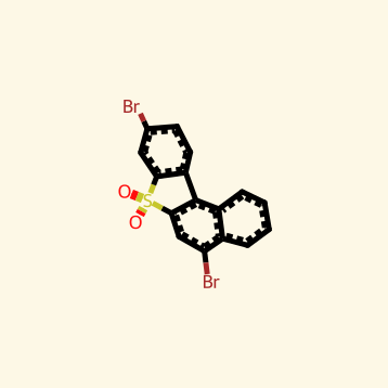 O=S1(=O)c2cc(Br)ccc2-c2c1cc(Br)c1ccccc21